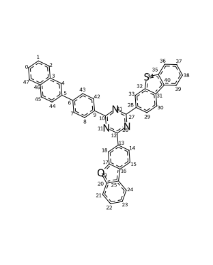 c1ccc2cc(-c3ccc(-c4nc(-c5ccc6c(c5)oc5ccccc56)nc(-c5ccc6c(c5)sc5ccccc56)n4)cc3)ccc2c1